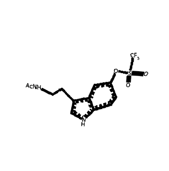 CC(=O)NCCc1c[nH]c2ccc(OS(=O)(=O)C(F)(F)F)cc12